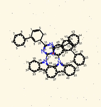 C1=CC(c2ccccc2)=CC(c2nc(-c3cccc(-c4ccccc4)c3)nc(-n3c4ccccc4c4ccc5c6ccccc6n(-c6cccc(-c7ccccc7)c6)c5c43)n2)C1